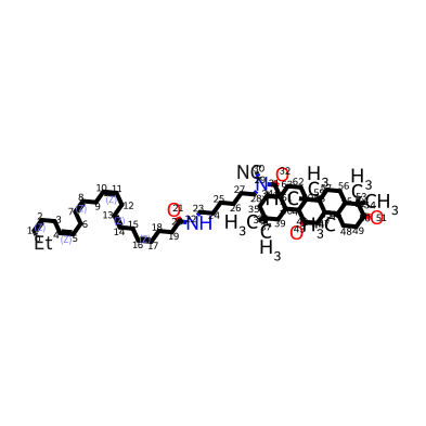 CC/C=C\C/C=C\C/C=C\C/C=C\C/C=C\C/C=C\CCC(=O)NCCCCCCN(C#N)C(=O)C12CCC(C)(C)CC1C1C(=O)CC3C4(C)CCC(=O)C(C)(C)C4CCC3(C)C1(C)CC2